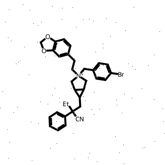 CCC(C#N)(CC1C2C[N+](CCc3ccc4c(c3)OCO4)(Cc3ccc(Br)cc3)CC12)c1ccccc1